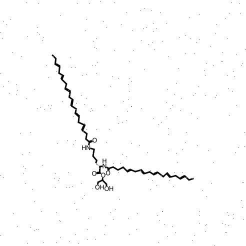 CCC=CCC=CCC=CCC=CCC=CCC=CCCC(=O)NCCCC[C@H](NC(=O)CCCC=CCC=CCC=CCC=CCC=CCC)C(=O)OC(CO)CO